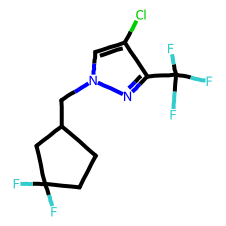 FC1(F)CCC(Cn2cc(Cl)c(C(F)(F)F)n2)C1